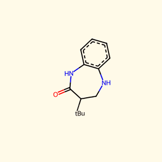 CC(C)(C)C1CNc2ccccc2NC1=O